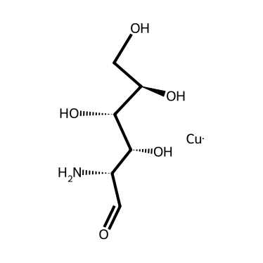 N[C@@H](C=O)[C@@H](O)[C@H](O)[C@H](O)CO.[Cu]